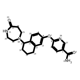 NC(=O)c1ccc(Oc2ccc3c(c2)CCCC3N2CCNC(=O)CC2)nc1